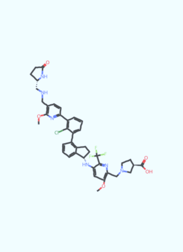 COc1cc(N[C@H]2CCc3c(-c4cccc(-c5ccc(CNC[C@@H]6CCC(=O)N6)c(OC)n5)c4Cl)cccc32)c(C(F)(F)F)nc1CN1CC[C@@H](C(=O)O)C1